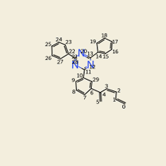 C=C/C=C\C(=C)c1cccc(-c2nc(-c3ccccc3)nc(-c3ccccc3)n2)c1